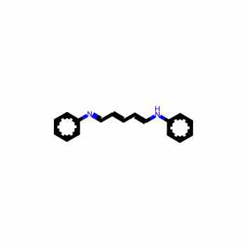 C(=C\C=N\c1ccccc1)/C=C/Nc1ccccc1